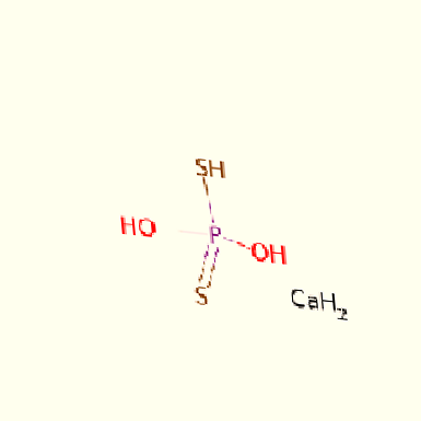 OP(O)(=S)S.[CaH2]